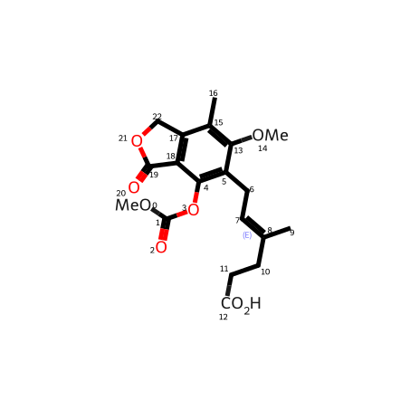 COC(=O)Oc1c(C/C=C(\C)CCC(=O)O)c(OC)c(C)c2c1C(=O)OC2